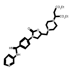 CCOC(=O)CC(C(=O)OCC)N1CCN(CC2CN(c3ccc(C(=N)Nc4cccnc4)cc3)C(=O)O2)CC1